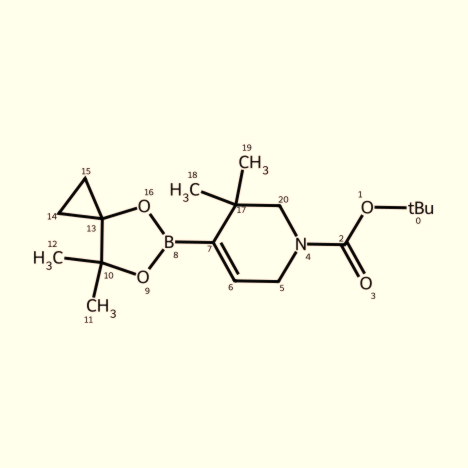 CC(C)(C)OC(=O)N1CC=C(B2OC(C)(C)C3(CC3)O2)C(C)(C)C1